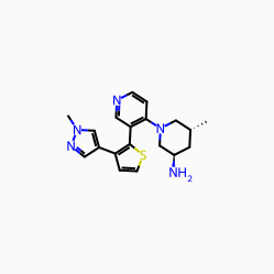 C[C@@H]1C[C@@H](N)CN(c2ccncc2-c2sccc2-c2cnn(C)c2)C1